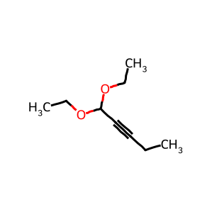 CCC#CC(OCC)OCC